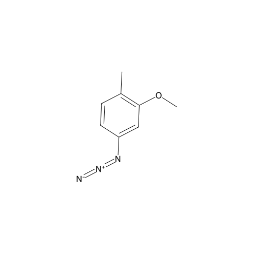 COc1cc(N=[N+]=[N-])ccc1C